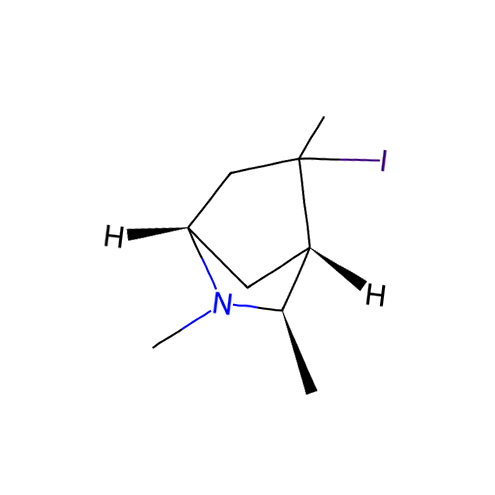 C[C@@H]1[C@@H]2C[C@@H](CC2(C)I)N1C